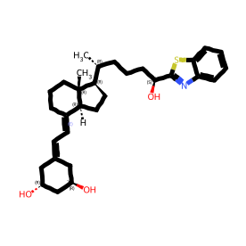 C[C@H](CCC[C@H](O)c1nc2ccccc2s1)[C@H]1CC[C@H]2/C(=C/C=C3C[C@@H](O)C[C@H](O)C3)CCC[C@]12C